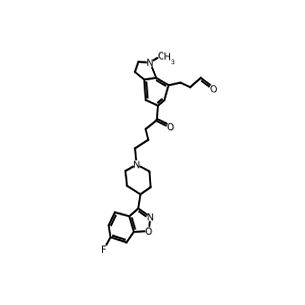 CN1CCc2cc(C(=O)CCCN3CCC(c4noc5cc(F)ccc45)CC3)cc(CCC=O)c21